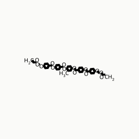 C=CC(=O)OCOc1ccc(C(=O)Oc2ccc(C(=O)Oc3ccc(OC(=O)c4ccc(OC(=O)c5ccc(OCOC(=O)C=C)cc5)cc4)c(C)c3)cc2)cc1